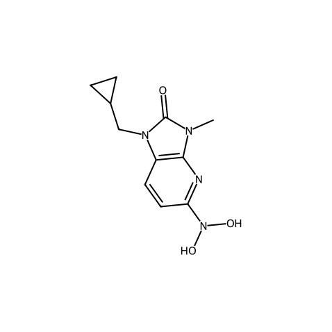 Cn1c(=O)n(CC2CC2)c2ccc(N(O)O)nc21